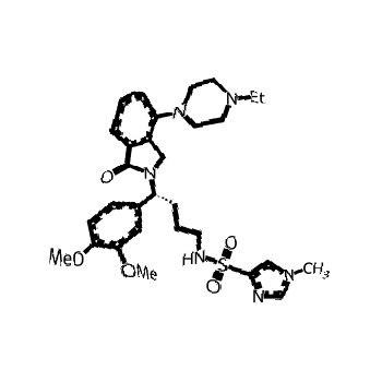 CCN1CCN(c2cccc3c2CN([C@H](CCCNS(=O)(=O)c2cn(C)cn2)c2ccc(OC)c(OC)c2)C3=O)CC1